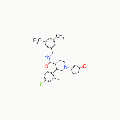 Cc1cc(F)ccc1C1CN(C2=CC(=O)CC2)CCC1C(=O)N(C)Cc1cc(C(F)(F)F)cc(C(F)(F)F)c1